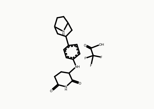 O=C(O)C(F)(F)F.O=C1CCC(Nc2ccc(C3CC4CCC(C3)N4)cc2)C(=O)N1